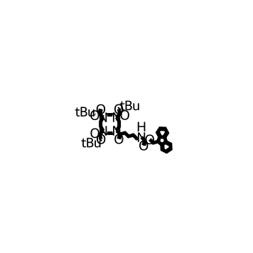 CC(C)(C)OC(=O)N1CCN(C(=O)CCCCNC(=O)OCC2c3ccccc3-c3ccccc32)CCN(C(=O)OC(C)(C)C)CCN(C(=O)OC(C)(C)C)CC1